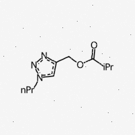 CCCn1cc(COC(=O)C(C)C)nn1